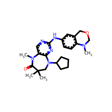 CN1COCc2cc(Nc3ncc4c(n3)N(C3CCCC3)CC(C)(C)C(=O)N4C)ccc21